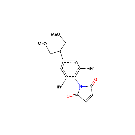 COCC(COC)c1cc(C(C)C)c(N2C(=O)C=CC2=O)c(C(C)C)c1